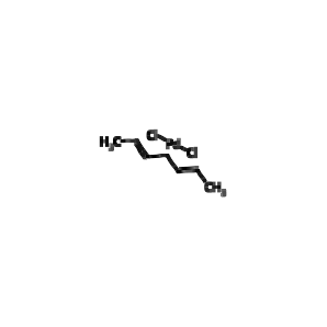 CC=CCC=CC.[Cl][Pd][Cl]